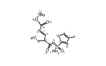 Cc1csc(S(N)(=O)=NC(=O)C(/C=N/C(=O)OC(C)(C)C)CC(C)C)n1